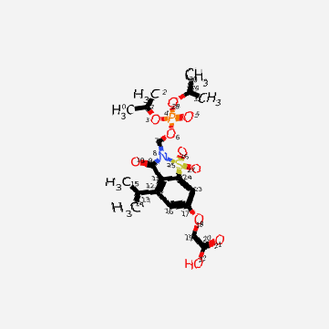 CC(C)OP(=O)(OCN1C(=O)c2c(C(C)C)cc(OCC(=O)O)cc2S1(=O)=O)OC(C)C